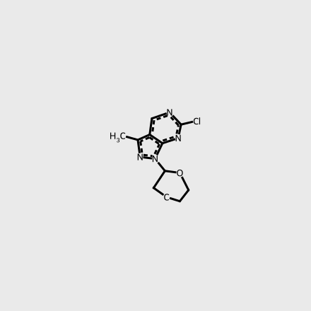 Cc1nn(C2CCCCO2)c2nc(Cl)ncc12